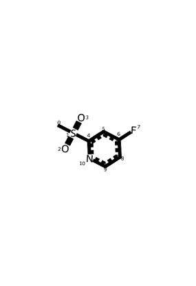 CS(=O)(=O)c1[c]c(F)ccn1